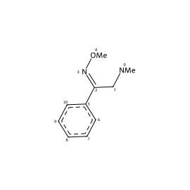 CNCC(=NOC)c1ccccc1